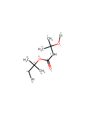 CCOC(C)(C)BC(=O)OC(C)(C)CC(C)C